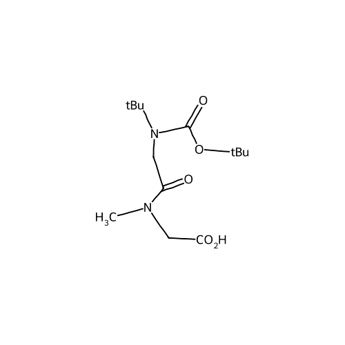 CN(CC(=O)O)C(=O)CN(C(=O)OC(C)(C)C)C(C)(C)C